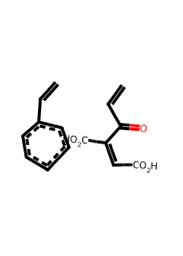 C=CC(=O)C(=CC(=O)O)C(=O)O.C=Cc1ccccc1